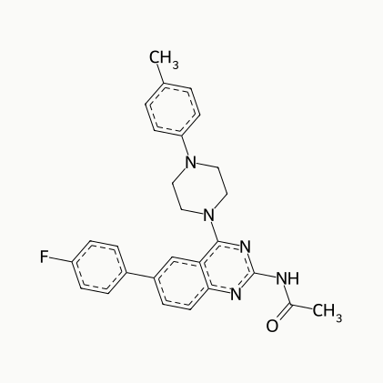 CC(=O)Nc1nc(N2CCN(c3ccc(C)cc3)CC2)c2cc(-c3ccc(F)cc3)ccc2n1